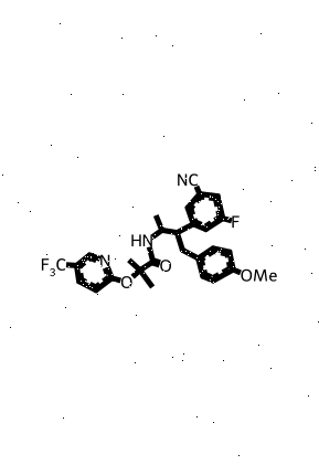 CC(NC(=O)C(C)(C)Oc1ccc(C(F)(F)F)cn1)C(Cc1ccc(O[11CH3])cc1)c1cc(F)cc(C#N)c1